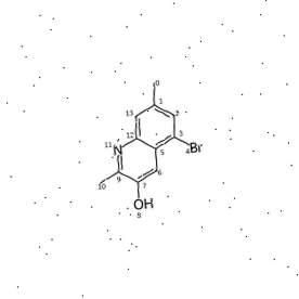 Cc1cc(Br)c2cc(O)c(C)nc2c1